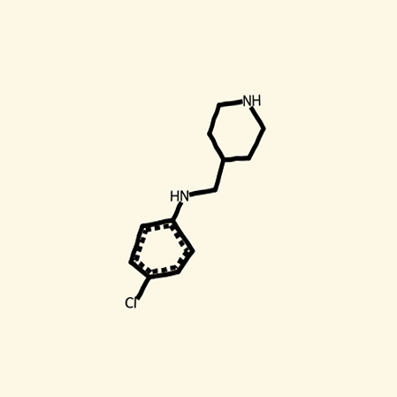 Clc1ccc(NCC2CCNCC2)cc1